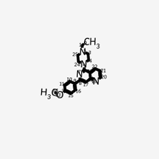 CCN1CCN(c2nc(-c3ccc(OC)cc3)cc3ncccc23)CC1